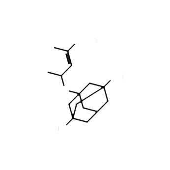 CC(=CC(C)OC12CC3CC(O)(CC(O)(C3)C1)C2)C(=O)O